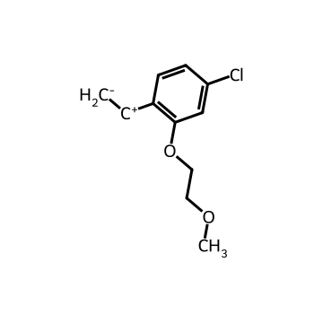 [CH2-][CH+]c1ccc(Cl)cc1OCCOC